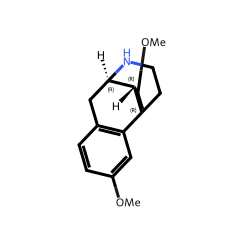 COc1ccc2c(c1)[C@@]13CCCC(OC)[C@H]1[C@@H](C2)NCC3